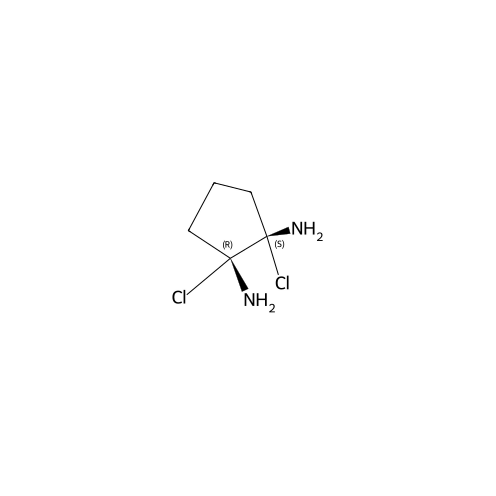 N[C@]1(Cl)CCC[C@@]1(N)Cl